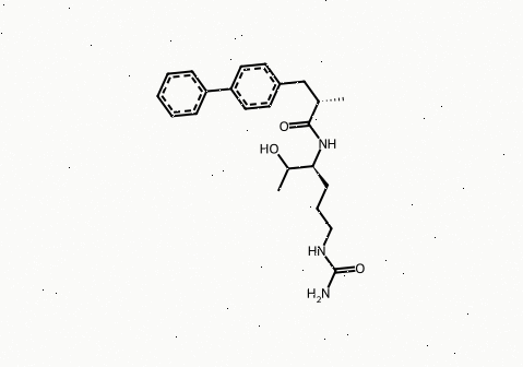 CC(O)[C@H](CCCNC(N)=O)NC(=O)[C@@H](C)Cc1ccc(-c2ccccc2)cc1